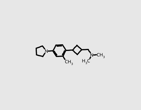 Cc1cc(N2CCCC2)ccc1C1CC(CN(C)C)C1